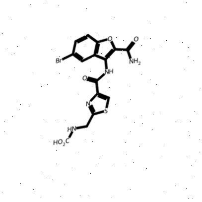 NC(=O)c1oc2ccc(Br)cc2c1NC(=O)c1csc(CNC(=O)O)n1